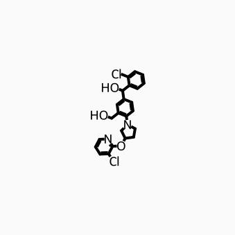 OCc1cc(C(O)c2ccccc2Cl)ccc1N1CCC(Oc2ncccc2Cl)C1